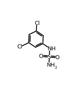 NS(=O)(=O)Nc1cc(Cl)cc(Cl)c1